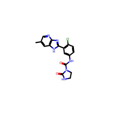 Cc1cnc2nc(-c3cc(NC(=O)N4CCNC4=O)ccc3Cl)[nH]c2c1